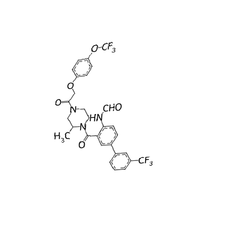 CC1CN(C(=O)COc2ccc(OC(F)(F)F)cc2)CCN1C(=O)c1cc(-c2cccc(C(F)(F)F)c2)ccc1NC=O